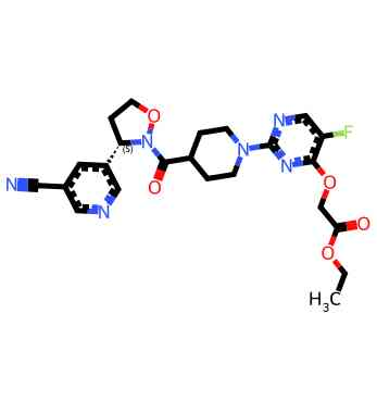 CCOC(=O)COc1nc(N2CCC(C(=O)N3OCC[C@H]3c3cncc(C#N)c3)CC2)ncc1F